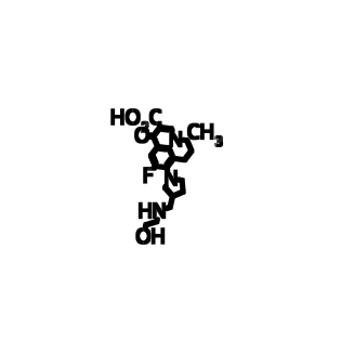 CC1CCc2c(N3CCC(CNCCO)C3)c(F)cc3c(=O)c(C(=O)O)cn1c23